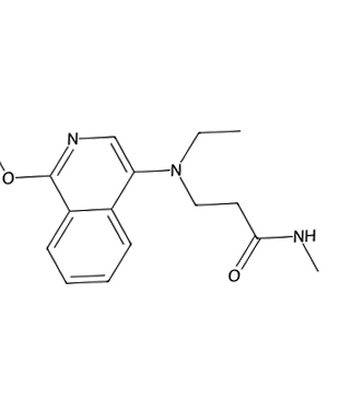 CCN(CCC(=O)NC)c1cnc(OC)c2ccccc12